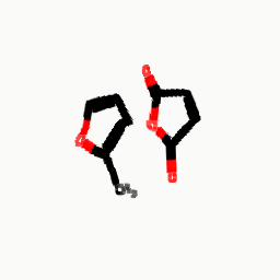 Cc1ccco1.O=C1C=CC(=O)O1